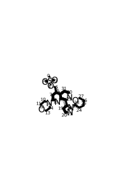 CS(=O)(=O)OCc1cc(N2CCOCC2)nc2c(-c3ccnn3C3CCCCO3)nccc12